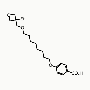 CCC1(COCCCCCCCCOc2ccc(C(=O)O)cc2)COC1